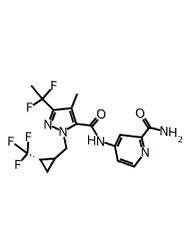 Cc1c(C(C)(F)F)nn(CC2C[C@@H]2C(F)(F)F)c1C(=O)Nc1ccnc(C(N)=O)c1